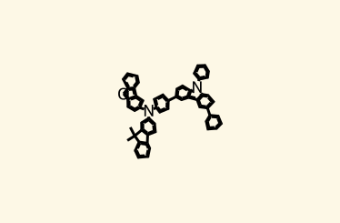 CC1(C)c2ccccc2-c2ccc(N(c3ccc(-c4ccc5c(c4)c4cc(-c6ccccc6)ccc4n5-c4ccccc4)cc3)c3ccc4oc5ccccc5c4c3)cc21